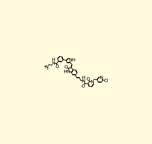 CN(C)CCNC(=O)c1cccc(-c2c[nH]c(/C=C3\C(=O)Nc4cc(/C=C/CNC(=O)c5cccn(Cc6ccc(Cl)nc6)c5=O)ccc43)c2)c1